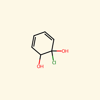 OC1C=CC=CC1(O)Cl